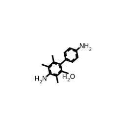 Cc1c(C)c(-c2ccc(N)cc2)c(C)c(C)c1N.O